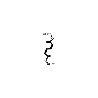 CCCCCCCCOC(=O)/C=C\C=C/C(=O)OCCCCCCCC